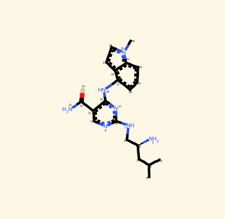 CC(C)C[C@H](N)CNc1ncc(C(N)=O)c(Nc2cccc3c2ccn3C)n1